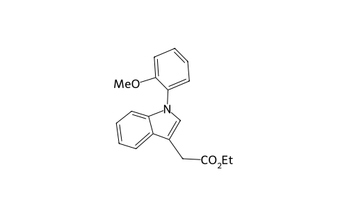 CCOC(=O)Cc1cn(-c2ccccc2OC)c2ccccc12